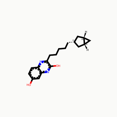 Oc1ccc2nc(CCCCC[C@@H]3C[C@@H]4C[C@@H]4C3)c(O)nc2c1